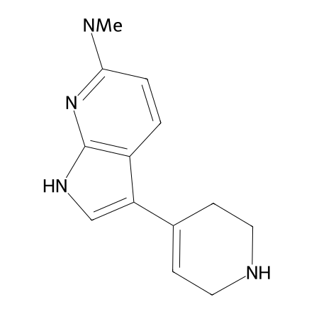 CNc1ccc2c(C3=CCNCC3)c[nH]c2n1